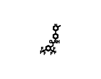 Cc1cc(-c2ccc(NC(=O)Cc3ccc(C(F)(F)F)cc3C(F)(F)F)cc2)ccn1